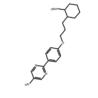 CCCCCCCCCC1CCCCC1CCCOc1ccc(-c2ncc(CCC)cn2)cc1